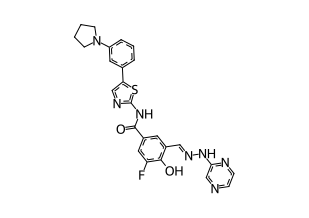 O=C(Nc1ncc(-c2cccc(N3CCCC3)c2)s1)c1cc(F)c(O)c(/C=N/Nc2cnccn2)c1